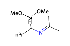 CCCC(N=C(C)C)[SiH](OC)OC